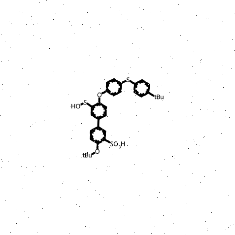 CC(C)(C)Oc1ccc(-c2ccc(Oc3ccc(Sc4ccc(C(C)(C)C)cc4)cc3)c(SO)c2)cc1S(=O)(=O)O